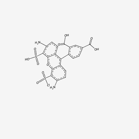 Nc1ccc2c(-c3ccc(C(=O)O)cc3C(=O)O)c3ccc(N)c(S(=O)(=O)Cl)c3[o+]c2c1S(=O)(=O)O